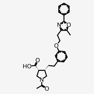 CC(=O)N1C[C@@H](CCc2cccc(OCCc3nc(-c4ccccc4)oc3C)c2)[C@@H](C(=O)O)C1